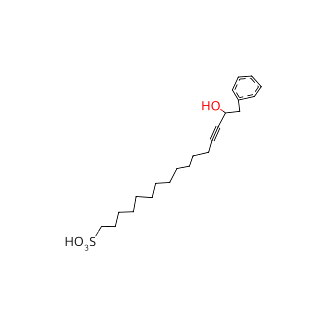 O=S(=O)(O)CCCCCCCCCCCCC#CC(O)Cc1ccccc1